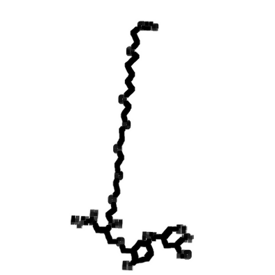 CC/C=C(\CC(N=O)C(C)C)Nc1ccc(CC)c(COC/C(=C/NN)NCCOCCOCCOCCOCCOCCCCCOCCOC)c1